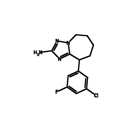 Nc1nc2n(n1)CCCCC2c1cc(F)cc(Cl)c1